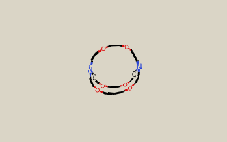 C1COCCN2CCOCCOCCN(CCOC1)CCOCCOCC2